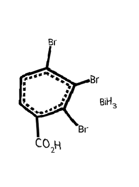 O=C(O)c1ccc(Br)c(Br)c1Br.[BiH3]